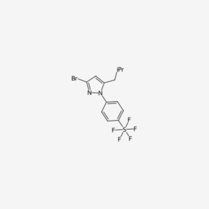 CC(C)Cc1cc(Br)nn1-c1ccc(S(F)(F)(F)(F)F)cc1